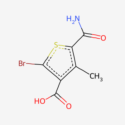 Cc1c(C(N)=O)sc(Br)c1C(=O)O